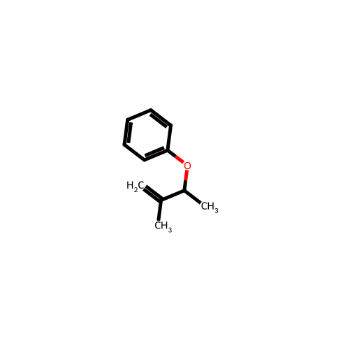 C=C(C)C(C)Oc1ccccc1